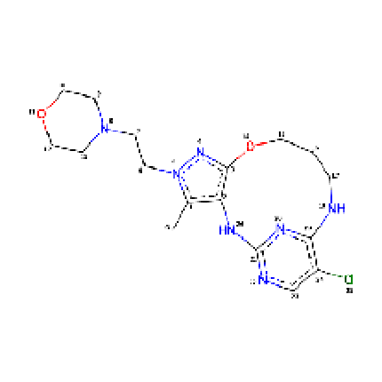 Cc1c2c(nn1CCN1CCOCC1)OCCCNc1nc(ncc1Cl)N2